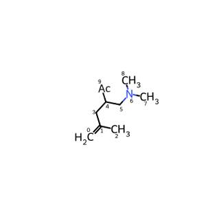 C=C(C)CC(CN(C)C)C(C)=O